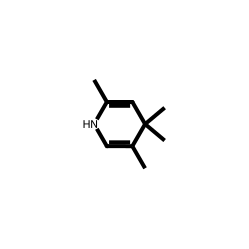 CC1=CC(C)(C)C(C)=CN1